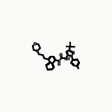 Cc1ccc(-n2nc(C(C)(C)C)cc2NC(=O)Nc2ccc(CCCN3CCOCC3)c3ccccc23)cc1